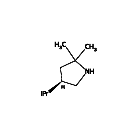 CC(C)[C@@H]1CNC(C)(C)C1